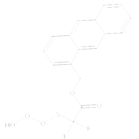 O=C(OCc1cccc2c1=CC1C=CC=CC1C=2)C(F)(F)SOOO